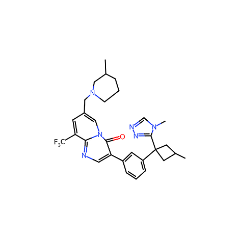 CC1CCCN(Cc2cc(C(F)(F)F)c3ncc(-c4cccc(C5(c6nncn6C)CC(C)C5)c4)c(=O)n3c2)C1